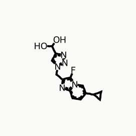 OC(O)c1cn(Cc2nc3ccc(C4CC4)cn3c2F)nn1